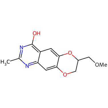 COCC1COc2cc3nc(C)nc(O)c3cc2O1